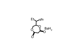 CCCC(CC)C1COC(=O)CC(=O)O1.[BaH2]